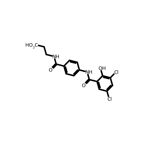 O=C(O)CCNC(=O)c1ccc(NC(=O)c2cc(Cl)cc(Cl)c2O)cc1